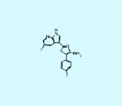 Nc1nc(-c2c[nH]c3ncc(F)cc23)sc1-c1ccc(F)cc1